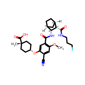 COc1cc(C#N)c(O[C@H]2CC[C@@](C)(C(=O)O)CC2)cc1C(=O)N[C@@H]1[C@H]2CC[C@H](C2)[C@@H]1C(=O)NCCCF